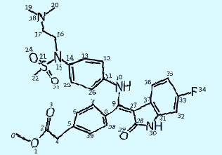 COC(=O)Cc1ccc(C(Nc2ccc(N(CCN(C)C)S(C)(=O)=O)cc2)=C2C(=O)Nc3cc(F)ccc32)cc1